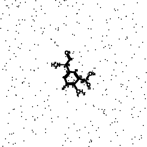 Cc1c(F)cc([C@H](N)C=O)cc1[N+](=O)[O-]